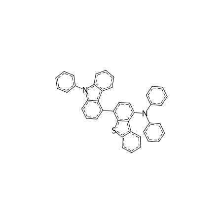 c1ccc(N(c2ccccc2)c2ccc(-c3cccc4c3c3ccccc3n4-c3ccccc3)c3sc4ccccc4c23)cc1